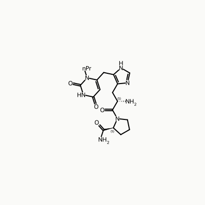 CCCn1c(Cc2[nH]cnc2C[C@H](N)C(=O)N2CCC[C@H]2C(N)=O)cc(=O)[nH]c1=O